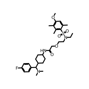 CCN(CCOCC(=O)NC1CCC(C(c2ccc(F)cc2)N(C)C)CC1)S(=O)(=O)c1c(C)cc(OC)c(C)c1C